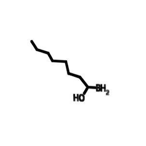 BC(O)CCCCCCC